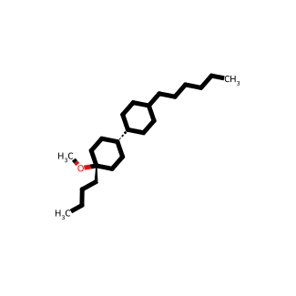 CCCCCCC1CCC([C@H]2CC[C@@](CCCC)(OC)CC2)CC1